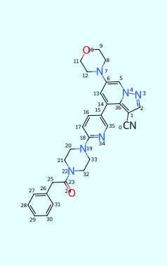 N#Cc1cnn2cc(N3CCOCC3)cc(-c3ccc(N4CCN(C(=O)Cc5ccccc5)CC4)nc3)c12